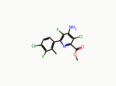 COC(=O)c1nc(-c2ccc(Cl)c(F)c2C)c(F)c(N)c1Cl